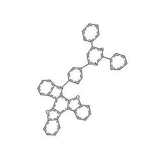 c1ccc(-c2cc(-c3ccc(-n4c5ccccc5c5c6oc7ccccc7c6c6c7ccccc7oc6c54)cc3)nc(-c3ccccc3)n2)cc1